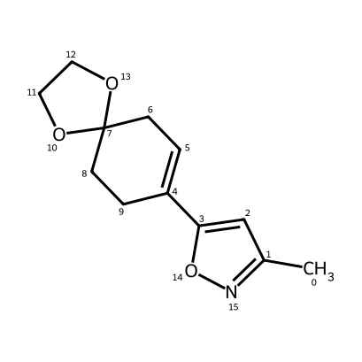 Cc1cc(C2=CCC3(CC2)OCCO3)on1